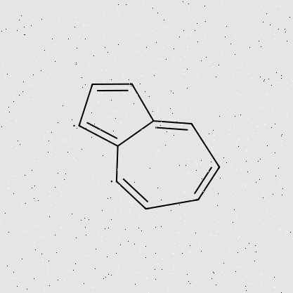 [c]1ccccc2cc[c]c1-2